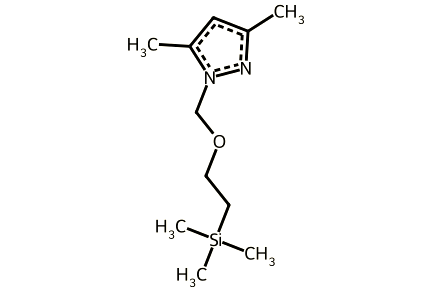 Cc1cc(C)n(COCC[Si](C)(C)C)n1